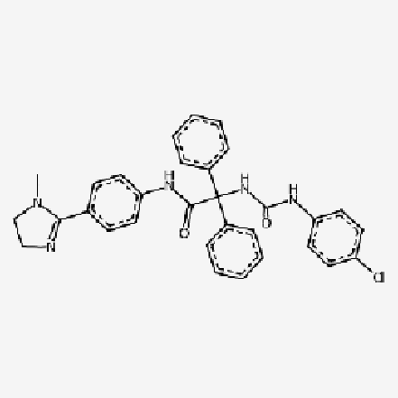 CN1CCN=C1c1ccc(NC(=O)C(NC(=O)Nc2ccc(Cl)cc2)(c2ccccc2)c2ccccc2)cc1